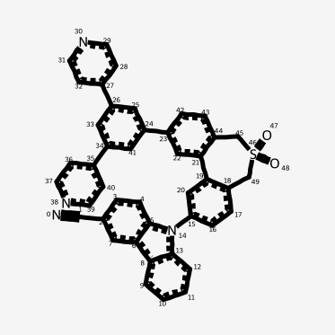 N#Cc1ccc2c(c1)c1ccccc1n2-c1ccc2c(c1)-c1cc(-c3cc(-c4ccncc4)cc(-c4ccncc4)c3)ccc1CS(=O)(=O)C2